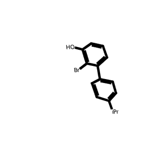 CC(C)c1ccc(-c2cccc(O)c2Br)cc1